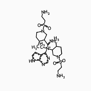 CC1CCN(S(=O)(=O)CCN)CC1C(=N)[N+](C)(c1ncnc2[nH]ccc12)C1CN(S(=O)(=O)CCN)CCC1C